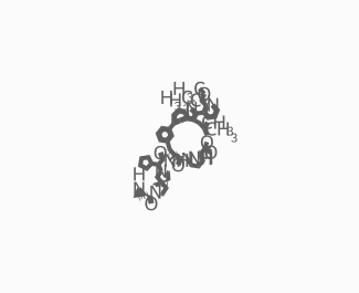 CCn1c(-c2cccnc2[C@H](C)OC)c2c3cc(ccc31)-c1cccc(c1)C[C@H](NC(=O)C(C1CCCC1)N1CC[C@]3(CCN(C(=O)[C@H]4CN4)C3)C1)C(=O)N1CCC[C@H](N1)C(=O)OCC(C)(C)C2